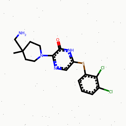 CC1(CN)CCN(c2ncc(Sc3cccc(Cl)c3Cl)[nH]c2=O)CC1